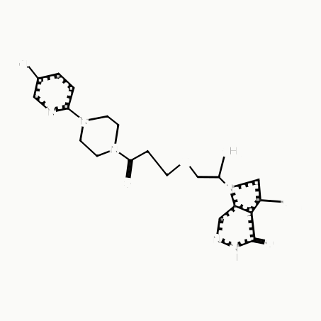 Cc1cn(C(C)COCCC(=O)N2CCN(c3ccc(Cl)cn3)CC2)c2cn[nH]c(=O)c12